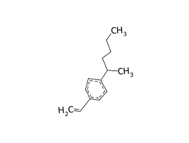 C=Cc1ccc(C(C)CCCC)cc1